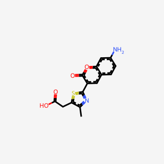 Cc1nc(-c2cc3ccc(N)cc3oc2=O)sc1CC(=O)O